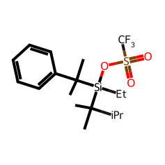 CC[Si](OS(=O)(=O)C(F)(F)F)(C(C)(C)c1ccccc1)C(C)(C)C(C)C